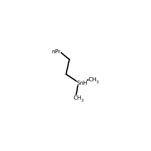 CCCC[CH][SnH]([CH3])[CH3]